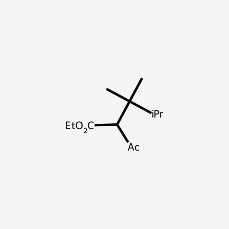 CCOC(=O)C(C(C)=O)C(C)(C)C(C)C